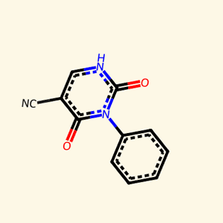 N#Cc1c[nH]c(=O)n(-c2ccccc2)c1=O